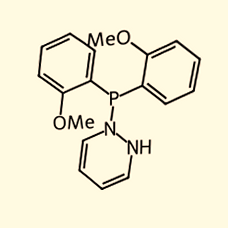 COc1ccccc1P(c1ccccc1OC)N1C=CC=CN1